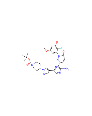 COc1cc(OC)c(F)c(-n2nc(-c3nc(-c4cnn(C5CCN(C(=O)OC(C)(C)C)CC5)c4)cnc3N)ccc2=O)c1